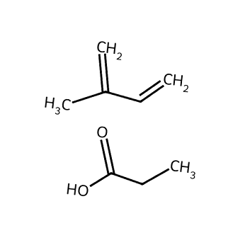 C=CC(=C)C.CCC(=O)O